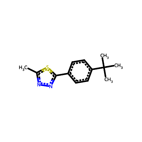 Cc1nnc(-c2ccc(C(C)(C)C)cc2)s1